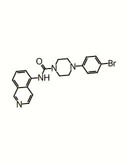 O=C(Nc1cccc2cnccc12)N1CCN(c2ccc(Br)cc2)CC1